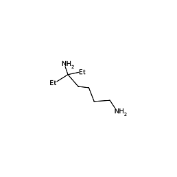 CCC(N)(CC)CCCCN